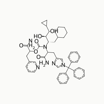 NC(=O)C(Cc1cccnc1)OC(=O)N(C(Cc1cn(C(c2ccccc2)(c2ccccc2)c2ccccc2)cn1)C(N)=O)[C@@H](CC1CCCCC1)[C@@H](O)[C@@H](O)C1CC1